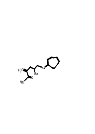 C=C(CC(O)COC1CCCCC1)C(=O)O